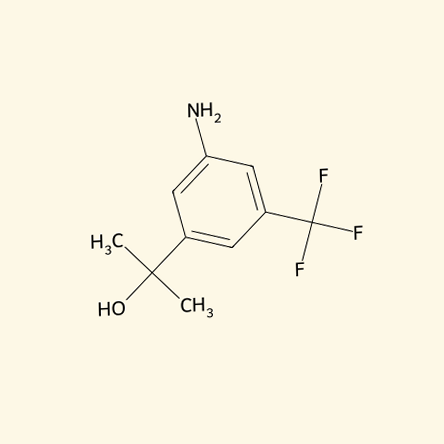 CC(C)(O)c1cc(N)cc(C(F)(F)F)c1